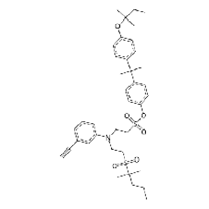 C#Cc1cccc(N(CCS(=O)(=O)Oc2ccc(C(C)(C)c3ccc(OC(C)(C)CC)cc3)cc2)CCS(=O)(=O)C(C)(C)CCC)c1